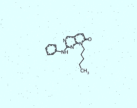 CCCCCn1c(=O)ccc2cnc(Nc3ccccc3)nc21